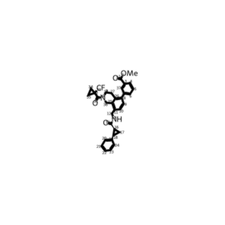 COC(=O)c1cccc(-c2ccc(CNC(=O)[C@H]3C[C@H]3c3ccccc3)c3c2CCN(C(=O)C2(C(F)(F)F)CC2)C3)c1